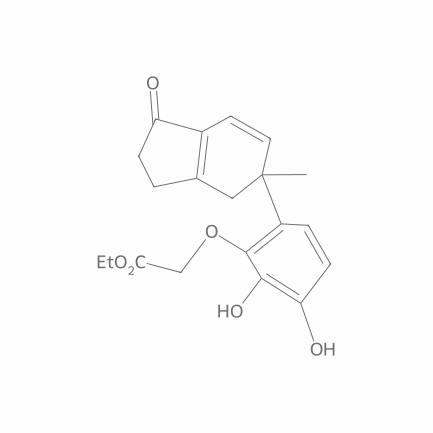 CCOC(=O)COc1c(C2(C)C=CC3=C(CCC3=O)C2)ccc(O)c1O